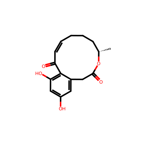 C[C@H]1CCC/C=C\C(=O)c2c(O)cc(O)cc2CC(=O)O1